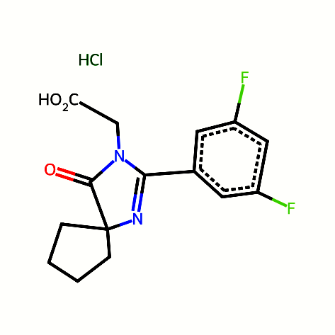 Cl.O=C(O)CN1C(=O)C2(CCCC2)N=C1c1cc(F)cc(F)c1